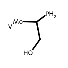 OC[CH](P)[Mo].[V]